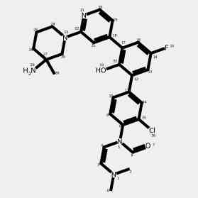 CN(C)/C=C\N(C=O)c1ccc(-c2cc(F)cc(-c3ccnc(N4CCCC(C)(N)C4)c3)c2O)cc1Cl